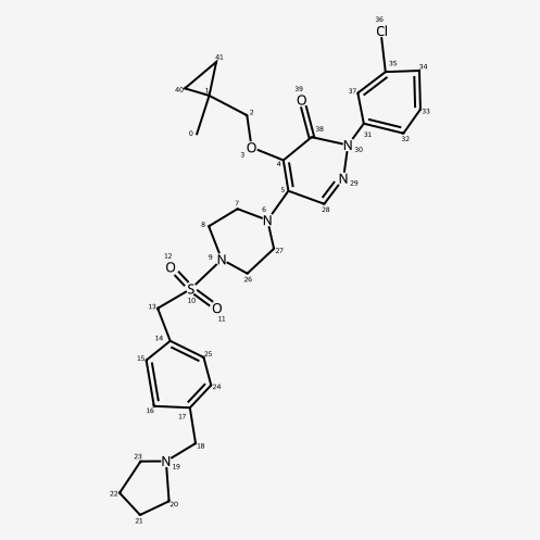 CC1(COc2c(N3CCN(S(=O)(=O)Cc4ccc(CN5CCCC5)cc4)CC3)cnn(-c3cccc(Cl)c3)c2=O)CC1